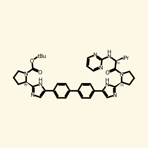 CC(C)[C@H](Nc1ncccn1)C(=O)N1CCC[C@H]1c1ncc(-c2ccc(-c3ccc(-c4cnc([C@H]5CCCN5C(=O)OC(C)(C)C)[nH]4)cc3)cc2)[nH]1